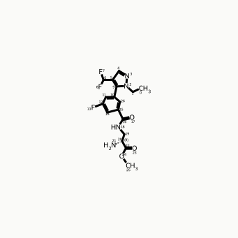 CCn1ncc(C(F)F)c1-c1cc(F)cc(C(=O)NC[C@@H](N)C(=O)OC)c1